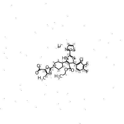 CCOC(=O)C1=C(C2CCN(c3nc(C)c(C(=O)[O-])o3)CC2)NC(c2nccs2)=NC1c1ccc(F)c(F)c1Cl.[Li+]